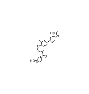 Cc1nc2ccc(-c3cc(C)c4c(c3)CN(C(=O)N3CC[C@@H](O)C3)CCO4)cc2[nH]1